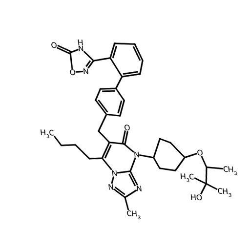 CCCCc1c(Cc2ccc(-c3ccccc3-c3noc(=O)[nH]3)cc2)c(=O)n(C2CCC(OC(C)C(C)(C)O)CC2)c2nc(C)nn12